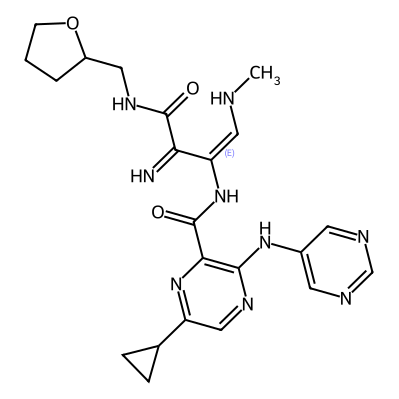 CN/C=C(/NC(=O)c1nc(C2CC2)cnc1Nc1cncnc1)C(=N)C(=O)NCC1CCCO1